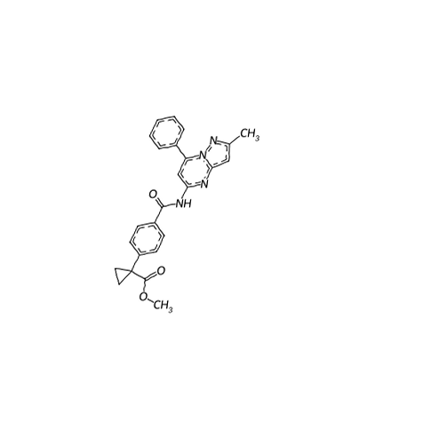 COC(=O)C1(c2ccc(C(=O)Nc3cc(-c4ccccc4)n4nc(C)cc4n3)cc2)CC1